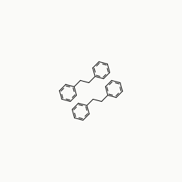 c1ccc(CCc2ccccc2)cc1.c1ccc(CCc2ccccc2)cc1